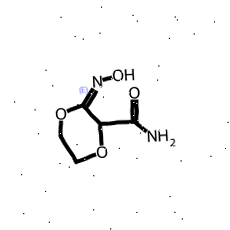 NC(=O)C1OCCO/C1=N/O